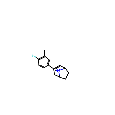 Cc1cc(C2=CC3CCC(C2)N3C)ccc1F